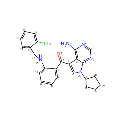 Nc1ncnc2c1c(C(=O)c1ccccc1NCc1ccccc1Cl)cn2C1CCCC1